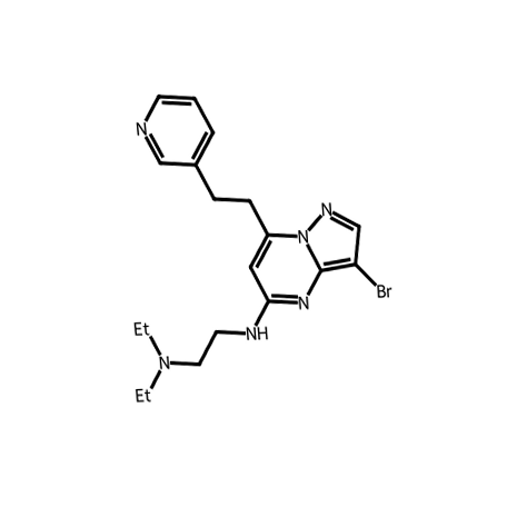 CCN(CC)CCNc1cc(CCc2cccnc2)n2ncc(Br)c2n1